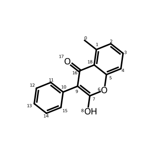 Cc1cccc2oc(O)c(-c3ccccc3)c(=O)c12